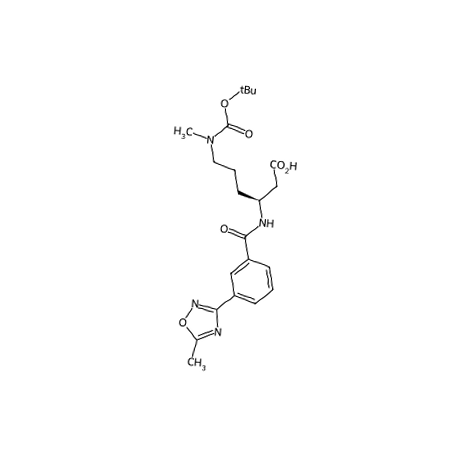 Cc1nc(-c2cccc(C(=O)N[C@@H](CCCN(C)C(=O)OC(C)(C)C)CC(=O)O)c2)no1